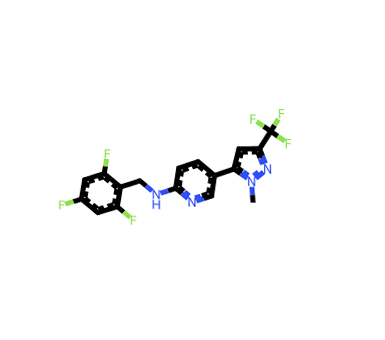 Cn1nc(C(F)(F)F)cc1-c1ccc(NCc2c(F)cc(F)cc2F)nc1